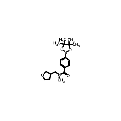 CN(CC1CCOC1)C(=O)c1ccc(B2OC(C)(C)C(C)(C)O2)cc1